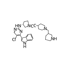 Clc1cnc(N[C@@H]2CCN(CCC3CCN(CC4CCCNC4)CC3)C2)nc1-c1c[nH]c2ccccc12